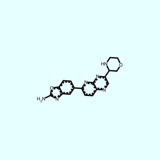 Nc1nc2cc(-c3ccc4ncc(C5COCCN5)nc4n3)ccc2o1